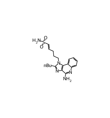 CCCCc1nc2c(N)nc3ccccc3c2n1CCCC=CS(N)(=O)=O